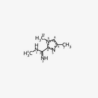 CNC(=N)c1nc(C)cn1C